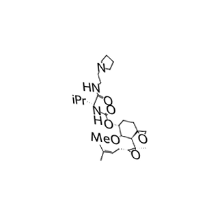 CO[C@@H]1[C@H](OC(=O)N[C@@H](C(=O)NCCN2CCCC2)C(C)C)CCC2(CO2)[C@H]1[C@@]1(C)O[C@@H]1CC=C(C)C